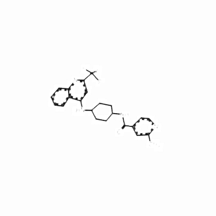 Cc1cc(C(=O)NC2CCC(Nc3cc(C(F)(F)F)nc4ccccc34)CC2)ccn1